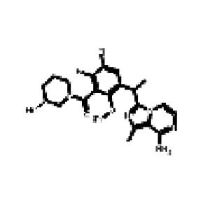 Cc1nc(C(C)c2cc(Cl)c(F)c(C(=O)N3CCC[C@H](O)C3)c2OC(C)C)n2ccnc(N)c12